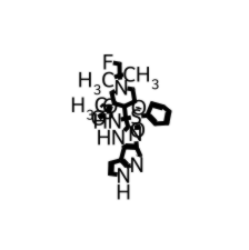 CC(C)(CF)N1CCC(C(NS(C)(=O)=O)(c2nc3cnc4[nH]ccc4c3[nH]2)S(=O)(=O)c2ccccc2)CC1